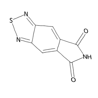 O=C1NC(=O)c2cc3nsnc3cc21